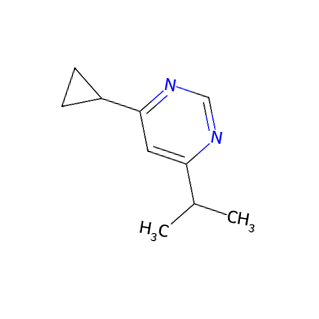 CC(C)c1cc(C2CC2)ncn1